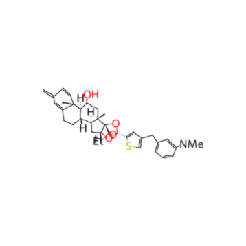 C=C1C=C[C@@]2(C)C(=C1)CC[C@@H]1[C@@H]2[C@@H](O)C[C@@]2(C)[C@H]1C[C@H]1O[C@@H](c3cc(Cc4cccc(NC)c4)cs3)O[C@]12C(=O)CC